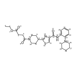 CCOC(=O)CCC(=O)N1CCC(c2nc(C(=O)Nc3ccccc3N3CCCCC3)cs2)CC1